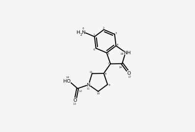 Nc1ccc2c(c1)C(C1CCN(C(=O)O)C1)C(=O)N2